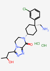 CC(O)Cc1nnc2n1CCN([C@H]1CC[C@](CN)(c3cccc(Cl)c3)CC1)C2=O.Cl.Cl